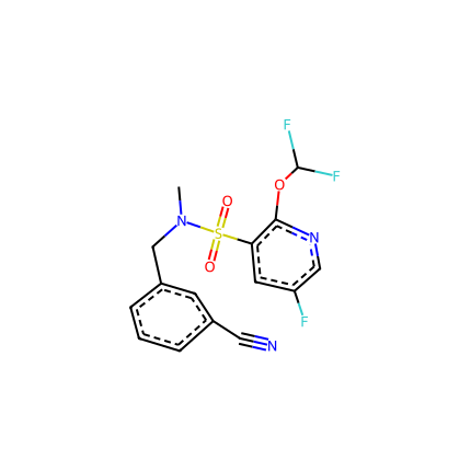 CN(Cc1cccc(C#N)c1)S(=O)(=O)c1cc(F)cnc1OC(F)F